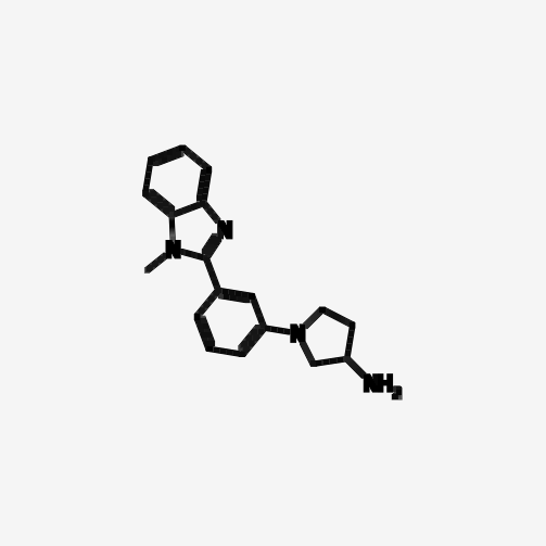 Cn1c(-c2cccc(N3CCC(N)C3)c2)nc2ccccc21